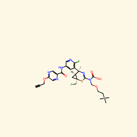 C#CCOc1cnc(C(=O)Nc2cnc(F)c([C@@]3(C)N=C(N(COCC[Si](C)(C)C)C(=O)O)S[C@@]4(CF)C[C@H]43)c2)cn1